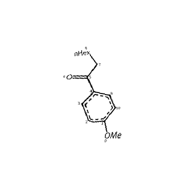 [CH2-][OH+]c1ccc(C(=O)CCCCCCC)cc1